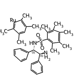 Cc1c(C)c(C)c(S(=O)(=O)N[C@@H](c2ccccc2)[C@@H](N)c2ccccc2)c(C)c1C.Cc1cc(C)c(C)cc1C.[Ru]